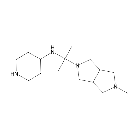 CN1CC2CN(C(C)(C)NC3CCNCC3)CC2C1